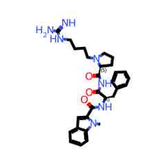 Cn1c(C(=O)N[C@H](Cc2ccccc2)C(=O)NC(=O)[C@@H]2CCCN2CCCCNC(=N)N)cc2ccccc21